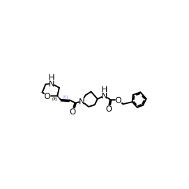 O=C(NC1CCN(C(=O)/C=C/[C@@H]2CNCCO2)CC1)OCc1ccccc1